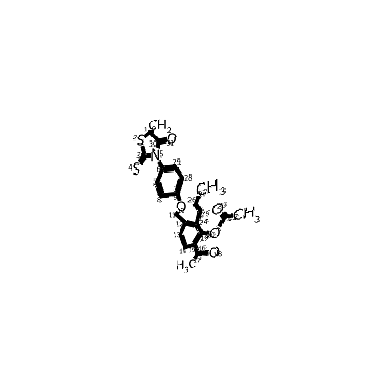 C=C1SC(=S)N(c2ccc(OCc3ccc(C(C)=O)c(OC(C)=O)c3CCC)cc2)C1=O